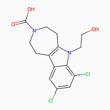 O=C(O)N1CCc2c(n(CCO)c3c(Cl)cc(Cl)cc23)CC1